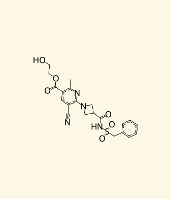 Cc1nc(N2CC(C(=O)NS(=O)(=O)Cc3ccccc3)C2)c(C#N)cc1C(=O)OCCO